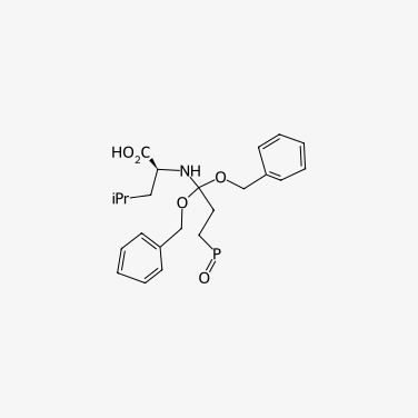 CC(C)C[C@H](NC(CCP=O)(OCc1ccccc1)OCc1ccccc1)C(=O)O